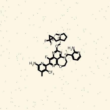 Cc1cc(N)nc(-c2nc3c4c(nc(OC[C@@]56CCCN5C[C@]5(CC5(F)F)C6)nc4c2F)N([C@H](C)c2cccnc2N)CCO3)c1C(F)(F)F